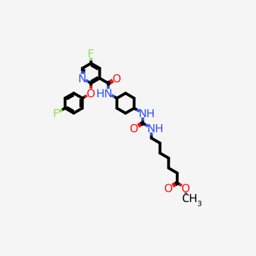 COC(=O)CCCCCCNC(=O)NC1CCC(NC(=O)c2cc(F)cnc2Oc2ccc(F)cc2)CC1